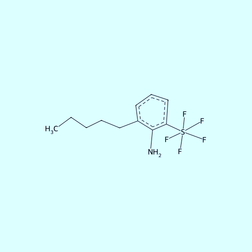 CCCCCc1cccc(S(F)(F)(F)(F)F)c1N